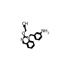 C#CCOC1N=Cc2ccccc2N1Cc1cccc(N)c1